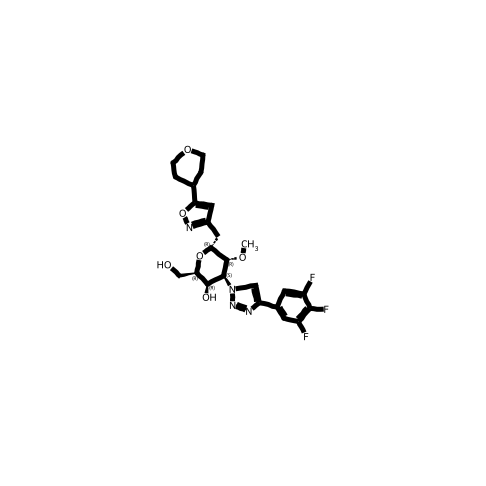 CO[C@@H]1[C@@H](n2cc(-c3cc(F)c(F)c(F)c3)nn2)[C@@H](O)[C@@H](CO)O[C@@H]1Cc1cc(C2CCOCC2)on1